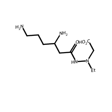 CCN(CC(=O)O)NC(=O)CC(N)CCCN